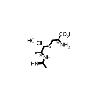 CC(=N)N[C@@H](C)CSC[C@H](N)C(=O)O.Cl.Cl